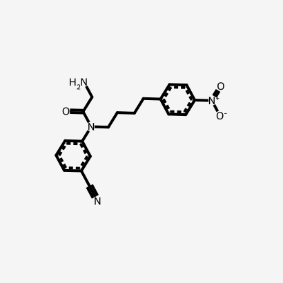 N#Cc1cccc(N(CCCCc2ccc([N+](=O)[O-])cc2)C(=O)CN)c1